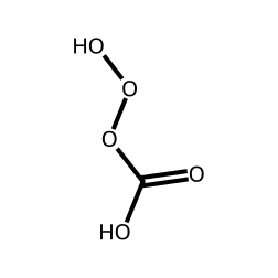 O=C(O)OOO